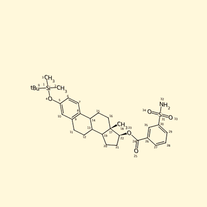 CC(C)(C)[Si](C)(C)Oc1ccc2c(c1)CCC1C2CC[C@@]2(C)C1CC[C@@H]2OC(=O)c1cccc(S(N)(=O)=O)c1